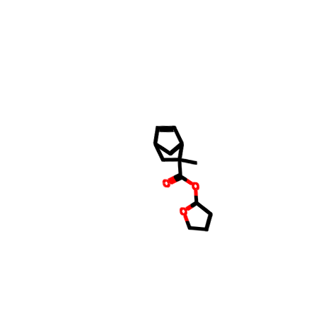 CC1(C(=O)OC2CCCO2)CC2C=CC1C2